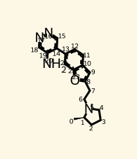 C[C@@H]1CCCN1CCc1cc2ccc(-c3cnncc3N)cc2o1